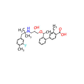 Cc1ccc(CC(C)(C)NC[C@H](O)COC(C)c2ccccc2-c2ccc(C(=O)O)c(C)c2)cc1F